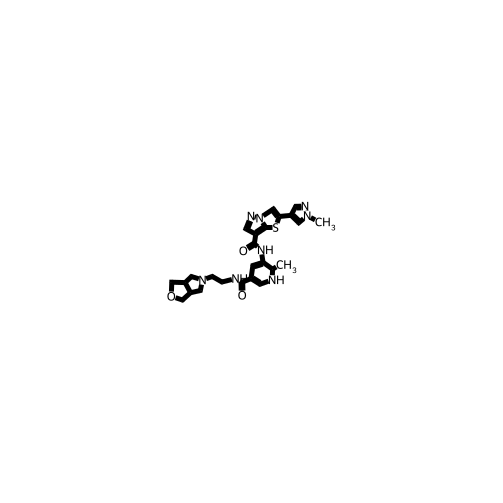 CC1NC=C(C(=O)NCCN2CC3COCC3C2)C=C1NC(=O)c1cnn2cc(-c3cnn(C)c3)sc12